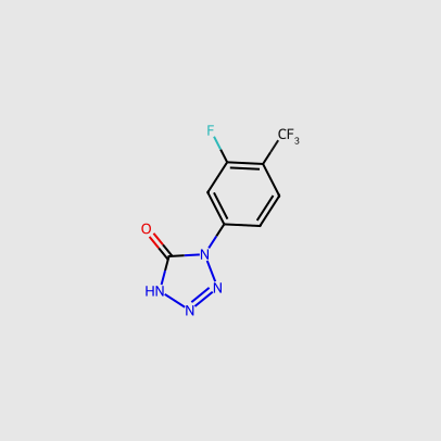 O=c1[nH]nnn1-c1ccc(C(F)(F)F)c(F)c1